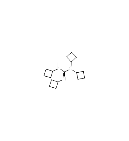 C1CC(N=C(NC2CCC2)N(C2CCC2)C2CCC2)C1